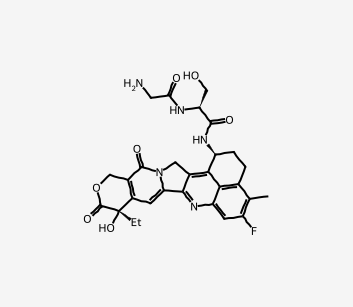 CC[C@@]1(O)C(=O)OCc2c1cc1n(c2=O)Cc2c-1nc1cc(F)c(C)c3c1c2[C@@H](NC(=O)[C@H](CO)NC(=O)CN)CC3